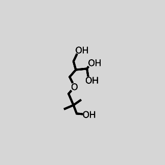 CC(C)(CO)COCC(CO)C(O)O